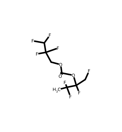 CC(F)(F)C(F)(CF)OC(=O)OCC(F)(F)C(F)F